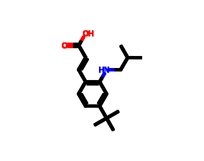 CC(C)CNc1cc(C(C)(C)C)ccc1C=CC(=O)O